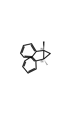 C[C@@]1(c2ccccc2)C[C@@]1(C)c1ccccc1